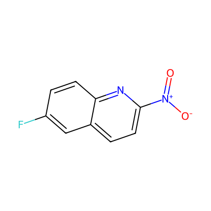 O=[N+]([O-])c1ccc2cc(F)ccc2n1